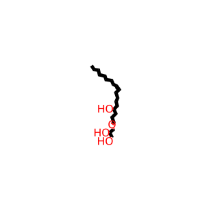 CCCCCCCC/C=C\CCCCC(O)CCCOCC(O)CO